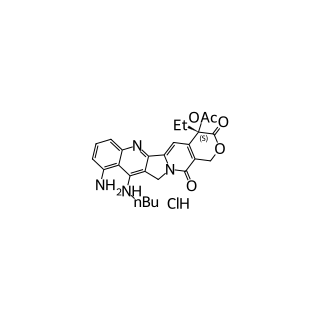 CCCCNc1c2c(nc3cccc(N)c13)-c1cc3c(c(=O)n1C2)COC(=O)[C@@]3(CC)OC(C)=O.Cl